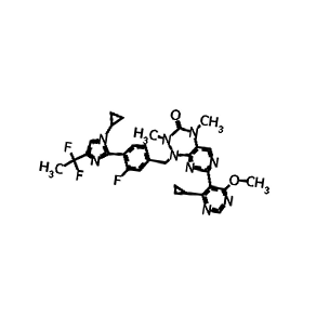 COc1ncnc(C2CC2)c1-c1ncc2c(n1)N(Cc1ccc(-c3nc(C(C)(F)F)cn3C3CC3)c(F)c1)N(C)C(=O)N2C